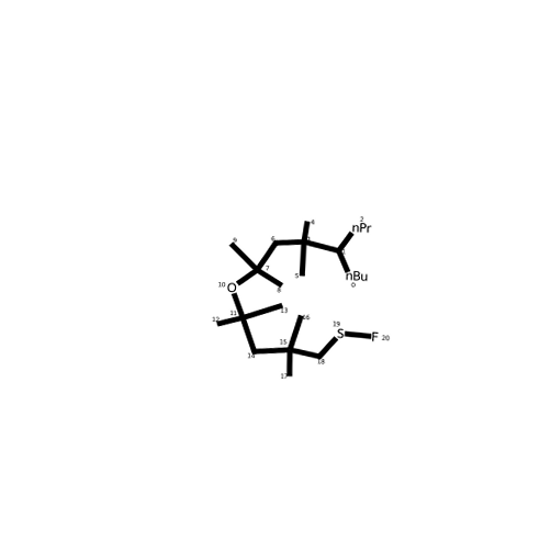 CCCCC(CCC)C(C)(C)CC(C)(C)OC(C)(C)CC(C)(C)CSF